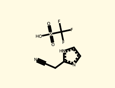 N#CCc1ncc[nH]1.O=S(=O)(O)C(F)(F)F